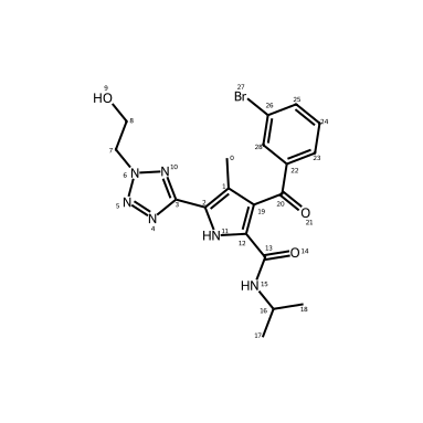 Cc1c(-c2nnn(CCO)n2)[nH]c(C(=O)NC(C)C)c1C(=O)c1cccc(Br)c1